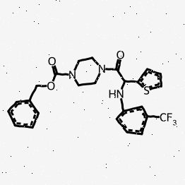 O=C(OCc1ccccc1)N1CCN(C(=O)C(Nc2cccc(C(F)(F)F)c2)c2cccs2)CC1